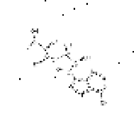 O=C(O)C(=O)[C@H](O)[C@H]1O[C@@H](n2cnc3c(O)ncnc32)[C@H](O)[C@@H]1O